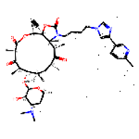 C#C[C@]12OC(=O)N(CCCCn3cnc(-c4ccc(C)nc4)c3)[C@@H]1[C@@H](C)C(=O)[C@H](C)C[C@](C)(OC)[C@H](OC1O[C@H](C)C[C@H](N(C)C)[C@H]1O)[C@@H](C)C(=O)[C@@H](C)C(=O)O[C@@H]2CC